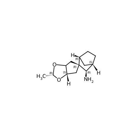 C[C@@H]1OC2C[C@@]3(C[C@@H]2O1)[C@@H]1CC[C@@H](C1)[C@H]3N